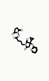 O=C(CCCN1C(=O)CC(Sc2ccccn2)(C2CC2)C1=O)ON1C(=O)CCC1=O